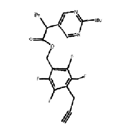 C#CCc1c(F)c(F)c(COC(=O)C(c2cnc(C(C)(C)C)nc2)C(C)C)c(F)c1F